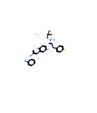 CC1(Cn2cc(C(Nc3cc(Cl)c4ncc(C#N)c(Nc5ccc(F)c(Cl)c5)c4c3)c3ccc(F)cc3)nn2)COC1